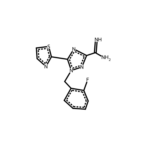 N=C(N)c1nc(-c2nccs2)n(Cc2ccccc2F)n1